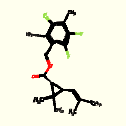 CCCc1c(F)c(C)c(F)c(F)c1COC(=O)[C@@H]1[C@@H](C=C(C)C)C1(C)C